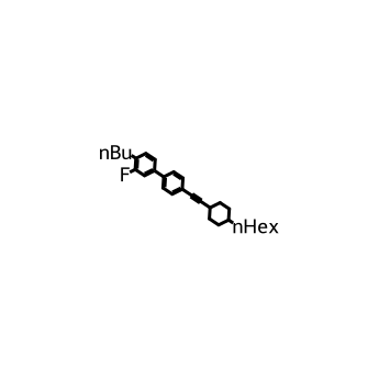 CCCCCCC1CCC(C#Cc2ccc(-c3ccc(CCCC)c(F)c3)cc2)CC1